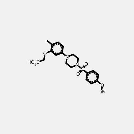 Cc1ccc(N2CCN(S(=O)(=O)c3ccc(OC(C)C)cc3)CC2)cc1OCC(=O)O